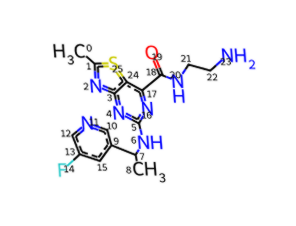 Cc1nc2nc(NC(C)c3cncc(F)c3)nc(C(=O)NCCN)c2s1